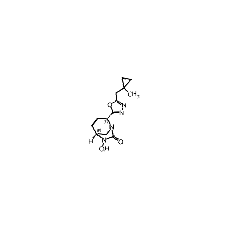 CC1(Cc2nnc([C@@H]3CC[C@@H]4CN3C(=O)N4O)o2)CC1